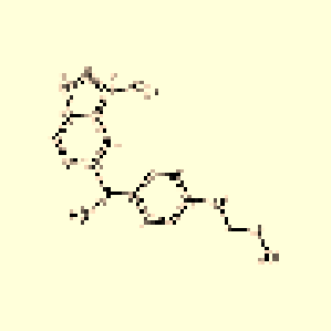 CN(c1ccc(OCCO)cc1)c1cc2c(cn1)ncn2C